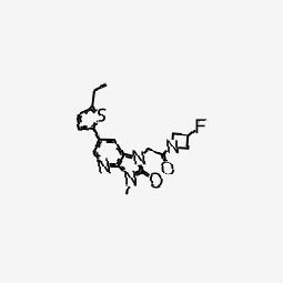 CCc1ccc(-c2cnc3c(c2)n(CC(=O)N2CC(F)C2)c(=O)n3C)s1